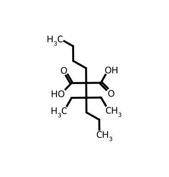 CCCCC(C(=O)O)(C(=O)O)C(CC)(CC)CCC